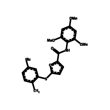 COc1cc(OC)c(NC(=O)c2ccc(Sc3cc(C(C)(C)C)ccc3C)o2)c(OC)c1